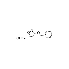 O=CCc1cc(OCc2ccccc2)no1